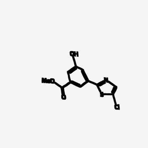 COC(=O)c1cc(O)cc(-c2ncc(Cl)s2)c1